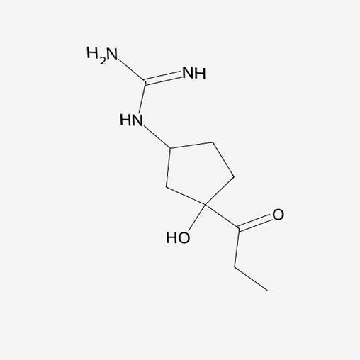 CCC(=O)C1(O)CCC(NC(=N)N)C1